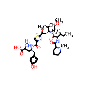 CCC(C)C(NC(=O)C1CCCCN1C)C(=O)N(CCOC)[C@H](CC(=O)c1nc(C(=O)N[C@@H](Cc2ccc(O)cc2)C[C@H](C)C(=O)O)cs1)C(C)C